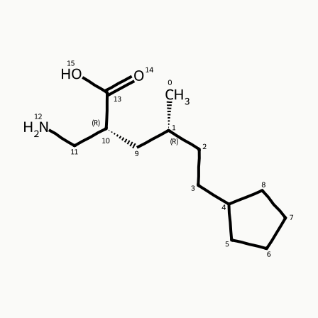 C[C@H](CCC1CCCC1)C[C@H](CN)C(=O)O